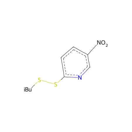 CCC(C)SSc1ccc([N+](=O)[O-])cn1